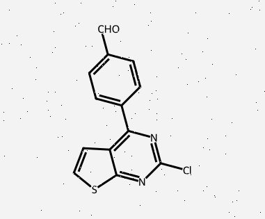 O=Cc1ccc(-c2nc(Cl)nc3sccc23)cc1